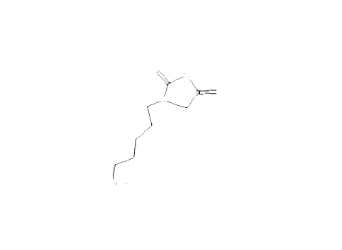 CCCCCCCCCCCCN1CC(=O)NC1=O